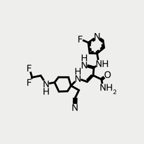 N#CCC1(N/C=C(\C(=N)Nc2ccnc(F)c2)C(N)=O)CCC(NCC(F)F)CC1